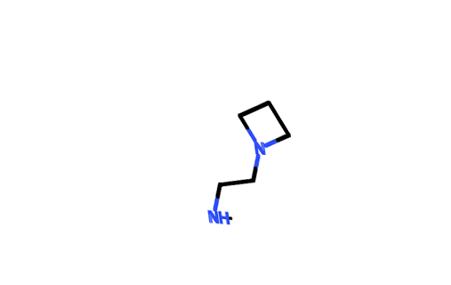 [NH]CCN1CCC1